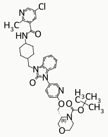 Cc1ncc(Cl)cc1C(=O)NC1CCC(Cn2c(=O)n(-c3ccc(OC[C@H]4COCCN4C(=O)OC(C)(C)C)nc3)c3ccccc32)CC1